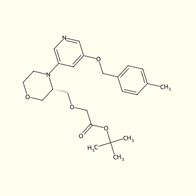 Cc1ccc(COc2cncc(N3CCOC[C@H]3COCC(=O)OC(C)(C)C)c2)cc1